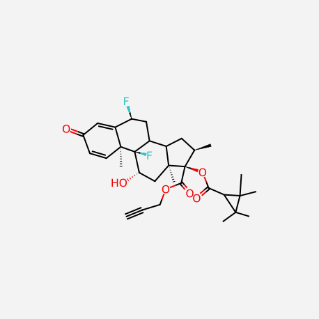 C#CCOC(=O)[C@@]1(OC(=O)C2C(C)(C)C2(C)C)[C@H](C)CC2C3C[C@H](F)C4=CC(=O)C=C[C@]4(C)[C@@]3(F)[C@@H](O)C[C@@]21C